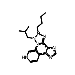 CCCCN1N=c2c3ncnc-3c3c(n2N1CC(C)C)=CNC=C3